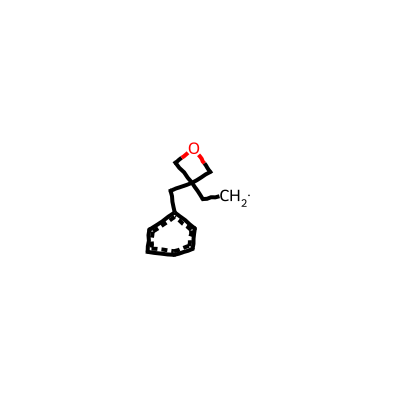 [CH2]CC1(Cc2ccccc2)COC1